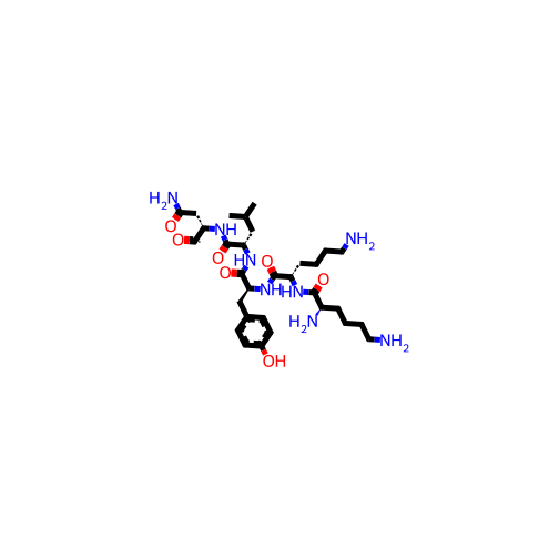 CC(C)C[C@H](NC(=O)[C@H](Cc1ccc(O)cc1)NC(=O)[C@H](CCCCN)NC(=O)[C@@H](N)CCCCN)C(=O)N[C@H]([C]=O)CC(N)=O